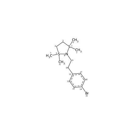 CS1(C)CCS(C)(C)N1CCc1ccc(Br)cc1